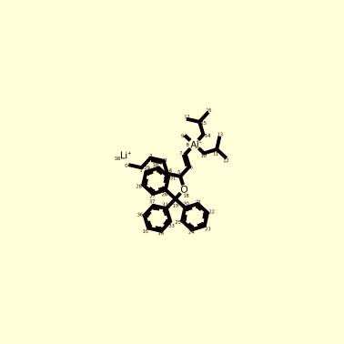 CC/C=C\CC(/C=[CH]/[Al-]([CH3])([CH2]C(C)C)[CH2]C(C)C)OC(c1ccccc1)(c1ccccc1)c1ccccc1.[Li+]